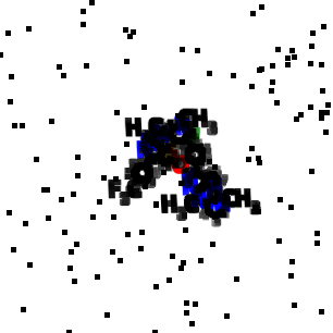 CN1CCC[C@@H](N(C)c2nnc(-c3ccc(F)cc3Oc3cc4c(-c5ccc(C(F)(F)F)cc5)nnc(N(C)[C@@H]5CCCN(C)C5)c4s3)c3cc[nH]c23)C1